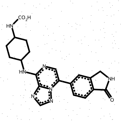 O=C(O)NC1CCC(Nc2ncc(-c3ccc4c(c3)CNC4=O)n3ncnc23)CC1